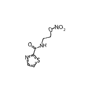 O=C(NCCO[N+](=O)[O-])c1nccs1